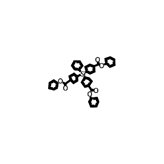 O=C(Oc1ccccc1)c1ccc([Si](c2ccccc2)(c2ccc(C(=O)Oc3ccccc3)cc2)c2ccc(C(=O)Oc3ccccc3)cc2)cc1